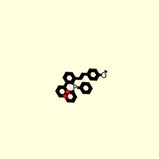 COc1ccc(C=Cc2cccc(-c3ccccc3)c2P(c2ccccc2)c2ccccc2)cc1